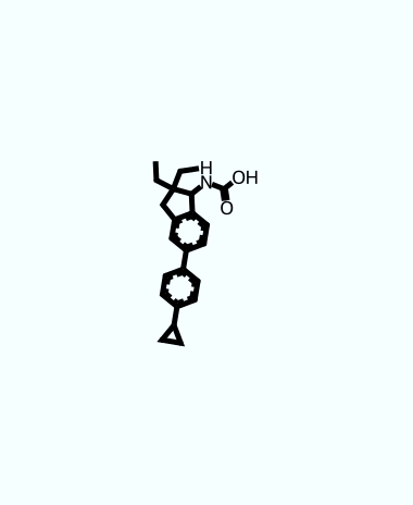 CCC1(CC)Cc2cc(-c3ccc(C4CC4)cc3)ccc2C1NC(=O)O